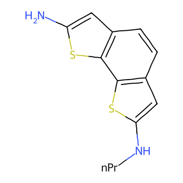 CCCNc1cc2ccc3cc(N)sc3c2s1